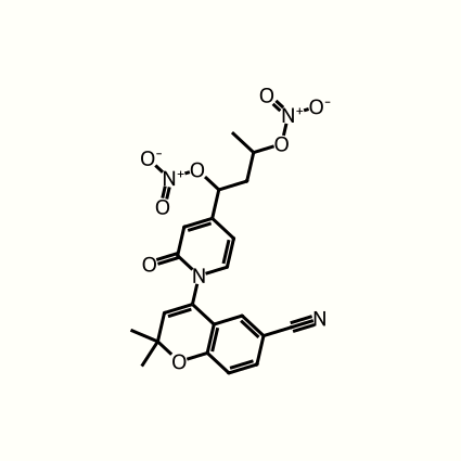 CC(CC(O[N+](=O)[O-])c1ccn(C2=CC(C)(C)Oc3ccc(C#N)cc32)c(=O)c1)O[N+](=O)[O-]